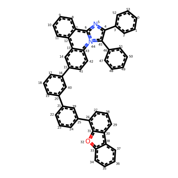 c1ccc(-c2nc3c4ccccc4c4cc(-c5cccc(-c6cccc(-c7cccc8c7oc7ccccc78)c6)c5)ccc4n3c2-c2ccccc2)cc1